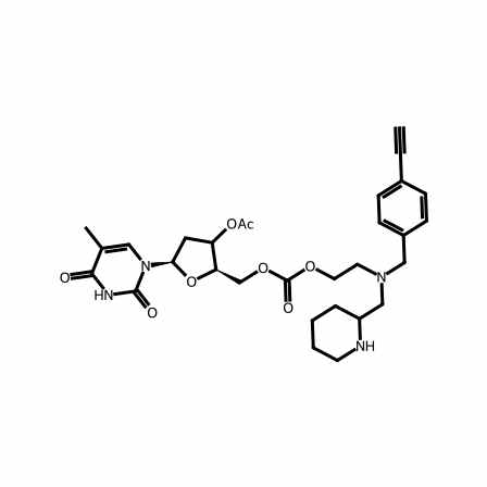 C#Cc1ccc(CN(CCOC(=O)OC[C@H]2O[C@@H](n3cc(C)c(=O)[nH]c3=O)CC2OC(C)=O)CC2CCCCN2)cc1